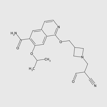 CC(C)Oc1cc2c(OCC3CN(CC(C#N)C=O)C3)nccc2cc1C(N)=O